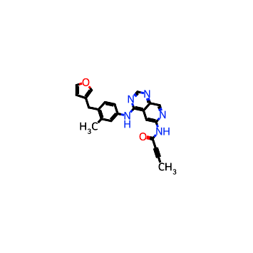 CC#CC(=O)Nc1cc2c(Nc3ccc(Cc4ccoc4)c(C)c3)ncnc2cn1